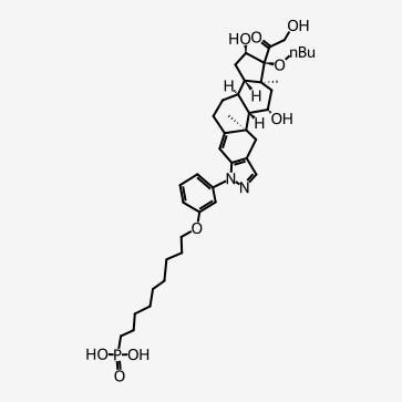 CCCCO[C@]1(C(=O)CO)[C@H](O)C[C@H]2[C@@H]3CCC4=Cc5c(cnn5-c5cccc(OCCCCCCCCCP(=O)(O)O)c5)C[C@]4(C)[C@H]3[C@@H](O)C[C@@]21C